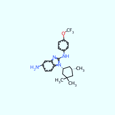 C[C@H]1C[C@@H](n2c(Nc3ccc(OC(F)(F)F)cc3)nc3cc(N)ccc32)CC(C)(C)C1